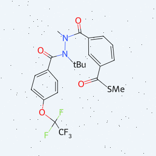 CSC(=O)c1cccc(C(=O)N(C)N(C(=O)c2ccc(OC(F)(F)C(F)(F)F)cc2)C(C)(C)C)c1